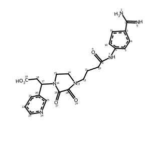 N=C(N)c1ccc(NC(=O)CCCN2CCN(C(CC(=O)O)c3cccnc3)C(=O)C2=O)cc1